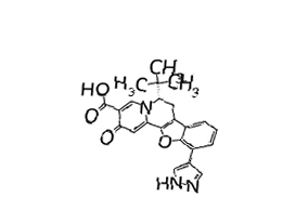 CC(C)(C)[C@@H]1Cc2c(oc3c(-c4cn[nH]c4)cccc23)-c2cc(=O)c(C(=O)O)cn21